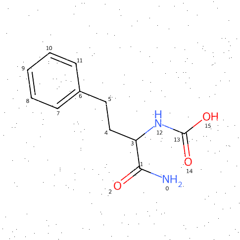 NC(=O)C(CCc1ccccc1)NC(=O)O